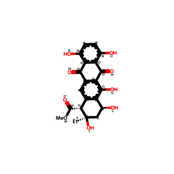 CC[C@@]1(O)C[C@H](O)c2c(cc3c(c2O)C(=O)c2c(O)ccc(O)c2C3=O)[C@H]1C(=O)OC